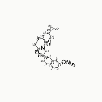 COc1ccc2c(c1)CN(C(=O)CN1C(=O)CCc3cc(C4CC4)cnc31)CC2